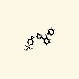 NS(=O)(=O)N1CCC2(CC1)C[C@H]2c1noc(-c2ccccc2Oc2ccccc2)n1